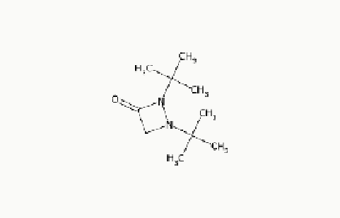 CC(C)(C)N1CC(=O)N1C(C)(C)C